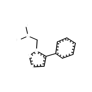 CCN(CC)Cn1nncc1-c1ccccc1